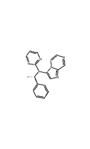 C[C@@H](c1ccccc1)N(c1ncccn1)c1cnc2cnccn12